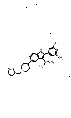 Cc1cc(-c2[nH]c3ccc(C4CCN(CC5CCOC5)CC4)cc3c2C(C)C)cc(C)n1